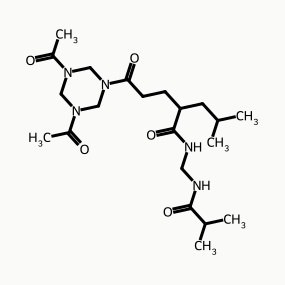 CC(=O)N1CN(C(C)=O)CN(C(=O)CCC(CC(C)C)C(=O)NCNC(=O)C(C)C)C1